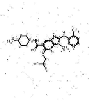 Cc1ccncc1Nc1nc2cc(C(=O)N[C@H]3CC[C@H](C)CC3)c(OCC(F)F)nc2n1C